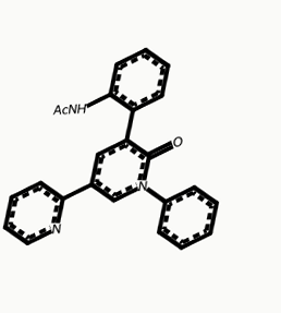 CC(=O)Nc1ccccc1-c1cc(-c2ccccn2)cn(-c2ccccc2)c1=O